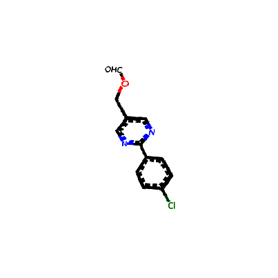 O=COCc1cnc(-c2ccc(Cl)cc2)nc1